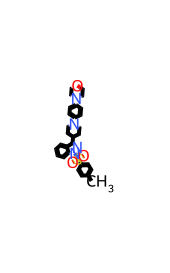 Cc1ccc(S(=O)(=O)n2nc(C3CCN(c4ccc(N5CCOCC5)cc4)CC3)c3ccccc32)cc1